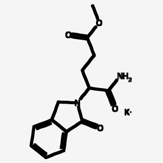 COC(=O)CCC(C(N)=O)N1Cc2ccccc2C1=O.[K]